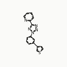 c1ccc(-c2nnn(-c3cccc(-c4ccsc4)c3)n2)nc1